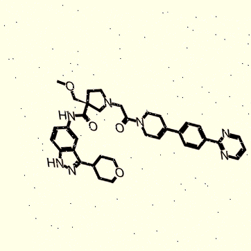 COC[C@@]1(C(=O)Nc2ccc3[nH]nc(C4CCOCC4)c3c2)CCN(CC(=O)N2CC=C(c3ccc(-c4ncccn4)cc3)CC2)C1